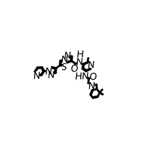 Cc1ncc(NC(=O)CN2CC3C2=CC=CC3(C)C)cc1NC(=O)c1cnn2cc(-c3cnn(-c4cccnc4)c3)sc12